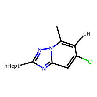 CCCCCCCc1nc2cc(Cl)c(C#N)c(C)n2n1